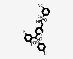 N#Cc1cccc(S(=O)(=O)NCc2ccc(C(c3cc(F)ccc3F)S(=O)(=O)c3ccc(Cl)cc3)nc2)c1